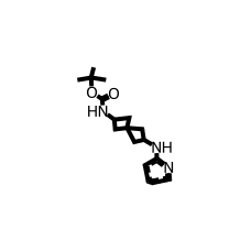 CC(C)(C)OC(=O)NC1CC2(C1)CC(Nc1ccccn1)C2